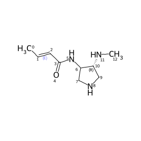 C/C=C/C(=O)NC1CNC[C@H]1NC